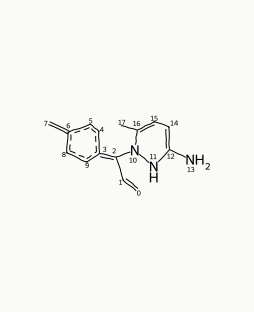 C=CC(=c1ccc(=C)cc1)N1NC(N)=CC=C1C